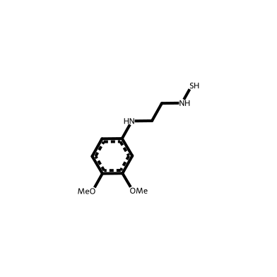 COc1ccc(NCCNS)cc1OC